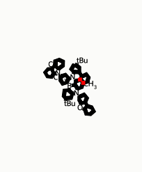 Cc1cc2c3c(c1)N(c1ccc(C(C)(C)C)cc1-c1ccccc1)c1cc(N4c5ccccc5C5(C)CCCCC45C)ccc1B3c1ccc(C(C)(C)C)cc1N2c1ccc2c(c1)oc1ccccc12